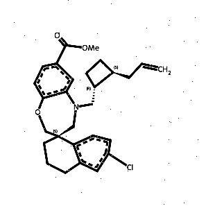 C=CC[C@@H]1CC[C@H]1CN1C[C@@]2(CCCc3cc(Cl)ccc32)COc2ccc(C(=O)OC)cc21